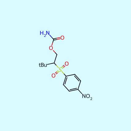 CC(C)(C)C(COC(N)=O)S(=O)(=O)c1ccc([N+](=O)[O-])cc1